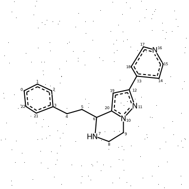 c1ccc(CCC2NCCn3nc(-c4ccncc4)cc32)cc1